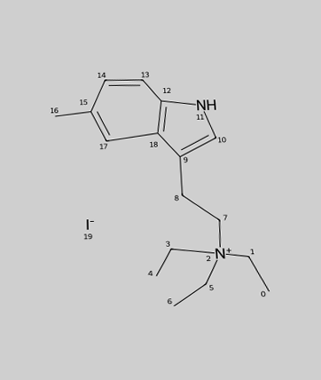 CC[N+](CC)(CC)CCc1c[nH]c2ccc(C)cc12.[I-]